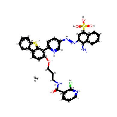 Nc1c(N=Nc2ccc(-c3c(OCCCNC(=O)c4cccnc4Cl)ccc4c3sc3ccccc34)nc2)cc(S(=O)(=O)[O-])c2ccccc12.[Na+]